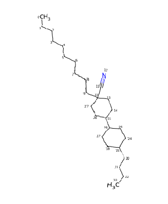 CCCCCCCCCCC1(C#N)CCC(C2CCC(CCCC)CC2)CC1